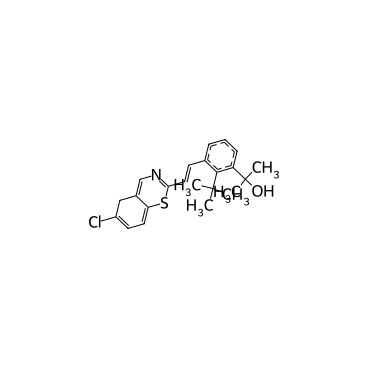 CC(C)(C)c1c(/C=C/C2=NC=C3CC(Cl)=CC=C3S2)cccc1C(C)(C)O